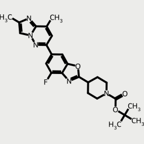 Cc1cn2nc(-c3cc(F)c4nc(C5CCN(C(=O)OC(C)(C)C)CC5)oc4c3)cc(C)c2n1